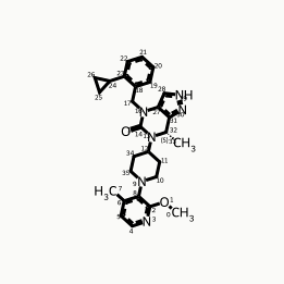 COc1nccc(C)c1N1CCC(N2C(=O)N(Cc3ccccc3C3CC3)c3c[nH]nc3[C@@H]2C)CC1